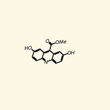 COC(=O)c1c2cc(O)ccc2nc2ccc(O)cc12